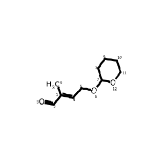 C/C(C=O)=C\COC1CCCCO1